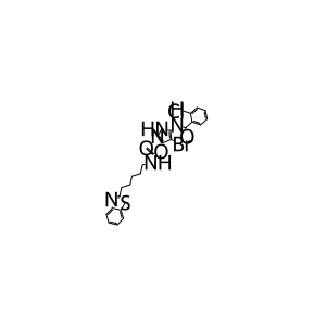 O=C(NCCCCCc1nc2ccccc2s1)Oc1n[nH]c(NC(=O)c2ccccc2Cl)c1Br